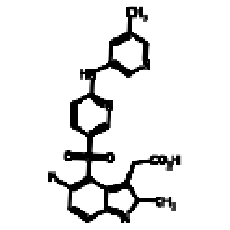 Cc1cncc(Nc2ccc(S(=O)(=O)c3c(F)ccc4c3=C(CC(=O)O)C(C)N=4)cn2)c1